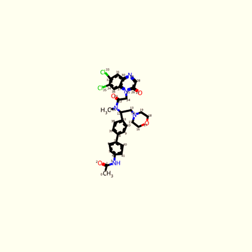 CC(=O)Nc1ccc(-c2ccc(C(CN3CCOCC3)N(C)C(=O)Cn3c(=O)cnc4cc(Cl)c(Cl)cc43)cc2)cc1